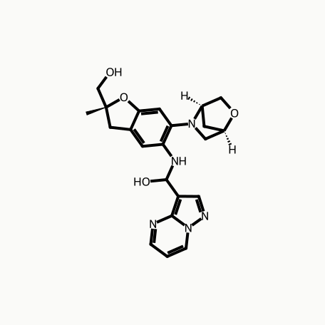 C[C@]1(CO)Cc2cc(NC(O)c3cnn4cccnc34)c(N3C[C@H]4C[C@@H]3CO4)cc2O1